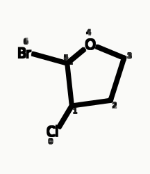 ClC1CCO[C]1Br